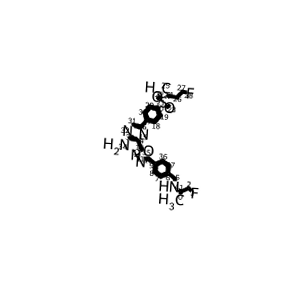 CC(CF)NCc1ccc(-c2nnc(-c3nc(-c4ccc(S(=O)(=O)C(C)CCF)cc4)cnc3N)o2)cc1